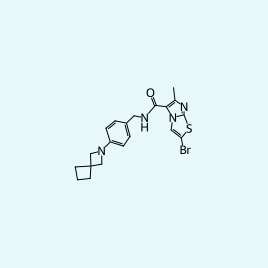 Cc1nc2sc(Br)cn2c1C(=O)NCc1ccc(N2CC3(CCC3)C2)cc1